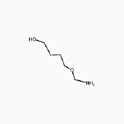 NCOCCCCO